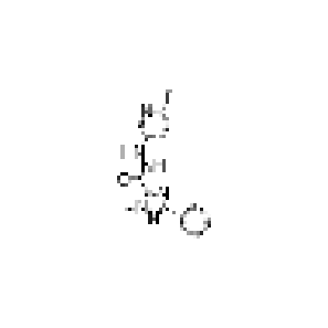 Cn1nc(-c2ccccc2)nc1C(=O)NNc1ccc(F)nc1